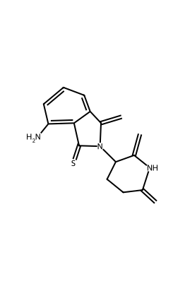 C=C1CCC(N2C(=C)c3cccc(N)c3C2=S)C(=C)N1